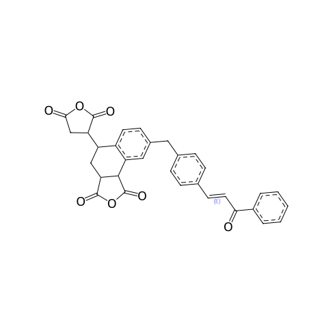 O=C1CC(C2CC3C(=O)OC(=O)C3c3cc(Cc4ccc(/C=C/C(=O)c5ccccc5)cc4)ccc32)C(=O)O1